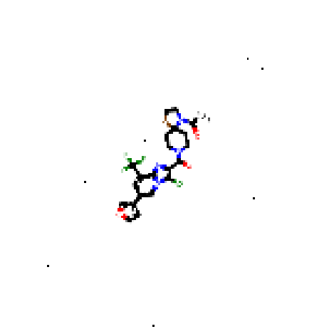 CC(=O)N1CCSC12CCN(C(=O)c1nc3c(C(F)(F)F)cc(-c4ccoc4)cn3c1Cl)CC2